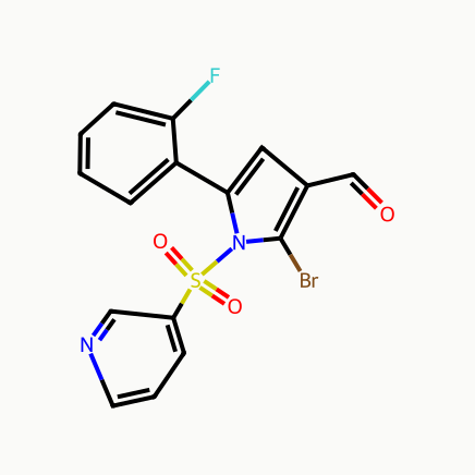 O=Cc1cc(-c2ccccc2F)n(S(=O)(=O)c2cccnc2)c1Br